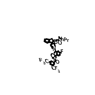 CCCN(C)C(=O)CO[C@H]1Cc2ccccc2C12CCN(CC[C@@]1(c3ccc(F)cc3)CN(C(=O)c3cc(C(F)(F)F)cc(C(F)(F)F)c3)CO1)CC2